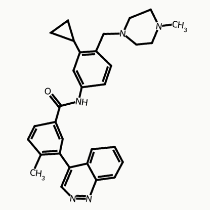 Cc1ccc(C(=O)Nc2ccc(CN3CCN(C)CC3)c(C3CC3)c2)cc1-c1cnnc2ccccc12